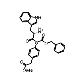 COC(=O)Cc1ccc(N(C(=O)OCc2ccccc2)C(=O)[C@@H](N)Cc2c[nH]c3ccccc23)cc1